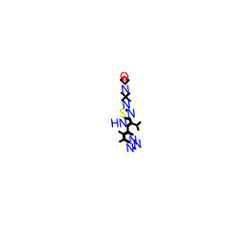 Cc1c(-c2[nH]c3sc(N4CC5(C4)CN(C4COC4)C5)nc3c2C(C)C)cn2ncnc2c1C